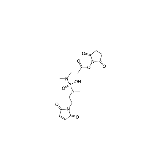 CN(CCC(=O)ON1C(=O)CCC1=O)P(=O)(O)N(C)CCN1C(=O)C=CC1=O